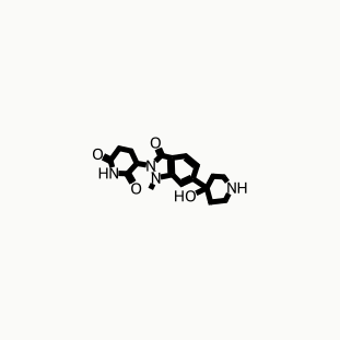 Cn1c2cc(C3(O)CCNCC3)ccc2c(=O)n1C1CCC(=O)NC1=O